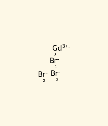 [Br-].[Br-].[Br-].[Gd+3]